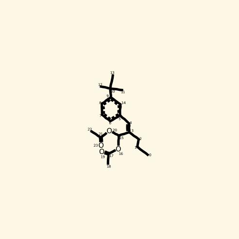 CCCC(=Cc1cccc(C(C)(C)C)c1)C(OC(C)=O)OC(C)=O